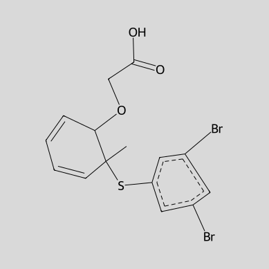 CC1(Sc2cc(Br)cc(Br)c2)C=CC=CC1OCC(=O)O